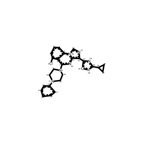 Clc1cccc2c1c(N1CCN(c3ccccc3)CC1)nc1c(-c3nc(C4CC4)no3)ncn12